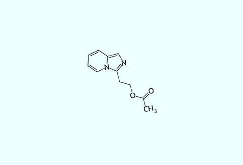 CC(=O)OCCc1ncc2ccccn12